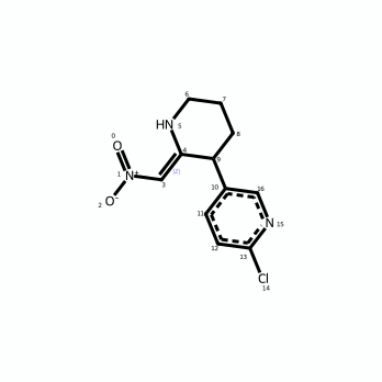 O=[N+]([O-])/C=C1\NCCCC1c1ccc(Cl)nc1